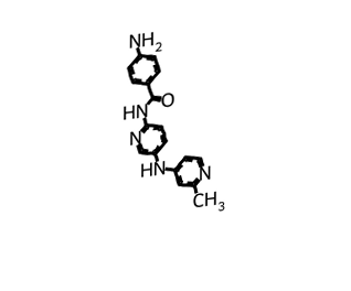 Cc1cc(Nc2ccc(NC(=O)c3ccc(N)cc3)nc2)ccn1